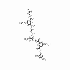 CC(F)(F)C(O)CCOC(=O)c1cc(C(=O)OCCC(OOC(F)CCOC(=O)c2cc(C(=O)OCCC(O)F)cc(S(=O)(=O)O)c2)C(C)(F)F)cc(S(=O)(=O)O)c1